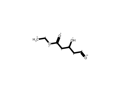 CCOC(=O)CC(O)CC=O